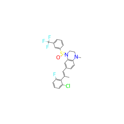 C/C(=C\c1ccc2c(c1)N([S+]([O-])c1cccc(C(F)(F)F)c1)CCN2C)c1c(F)cccc1Cl